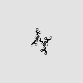 O=P(OCCOP(=O)(OCC(Cl)CCl)OCC(Cl)CCl)(OCC(Cl)CCl)OCC(Cl)CCl